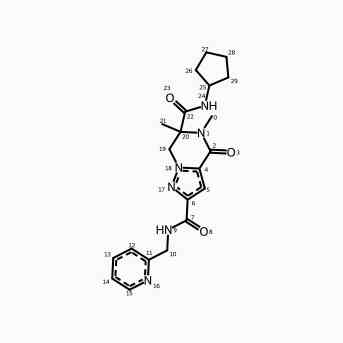 CN1C(=O)c2cc(C(=O)NCc3ccccn3)nn2CC1(C)C(=O)NC1CCCC1